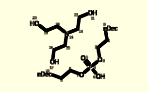 CCCCCCCCCCCCOP(=O)(O)OCCCCCCCCCCCC.OCCN(CCO)CCO